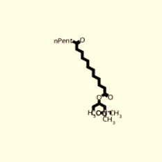 [CH2]CCCCC(=O)CCCCCCCCCCC(=O)OC(CC(=O)[O-])C[N+](C)(C)C